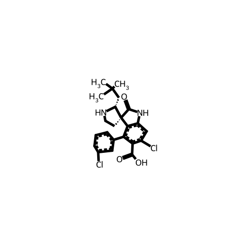 CC(C)(C)C[C@H]1NCC[C@@]12C(=O)Nc1cc(Cl)c(C(=O)O)c(-c3cccc(Cl)c3)c12